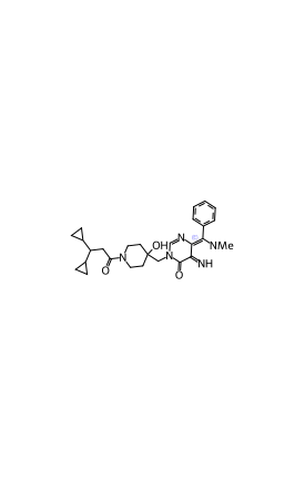 CN/C(=C1/N=CN(CC2(O)CCN(C(=O)CC(C3CC3)C3CC3)CC2)C(=O)C1=N)c1ccccc1